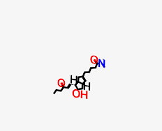 CCCC(=O)/C=C/[C@@H]1[C@H]2CC(CCCCC(=O)N(C)C)=C[C@H]2C[C@H]1O